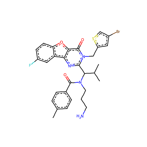 Cc1ccc(C(=O)N(CCCN)C(c2nc3c(oc4ccc(F)cc43)c(=O)n2Cc2cc(Br)cs2)C(C)C)cc1